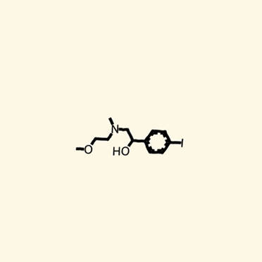 COCCN(C)CC(O)c1ccc(I)cc1